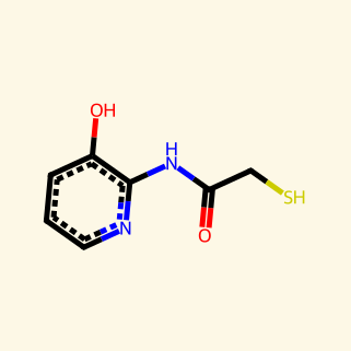 O=C(CS)Nc1ncccc1O